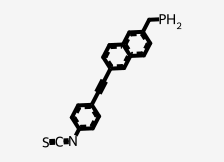 PCc1ccc2cc(C#Cc3ccc(N=C=S)cc3)ccc2c1